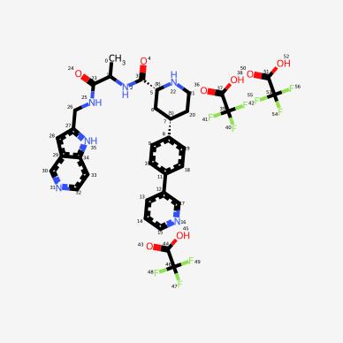 CC(NC(=O)[C@H]1C[C@@H](c2ccc(-c3cccnc3)cc2)CCN1)C(=O)NCc1cc2cnccc2[nH]1.O=C(O)C(F)(F)F.O=C(O)C(F)(F)F.O=C(O)C(F)(F)F